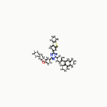 c1ccc2cc3c(cc2c1)oc1ccc(-c2nc(-c4ccc(-c5cc6ccccc6c6ccccc56)cc4)nc(-c4ccc5c(c4)sc4ccccc45)n2)cc13